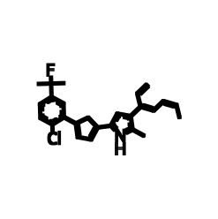 C=C/C(=C\C=C/C)c1cc(C2=CC=C(c3cc(C(C)(C)F)ccc3Cl)C2)[nH]c1C